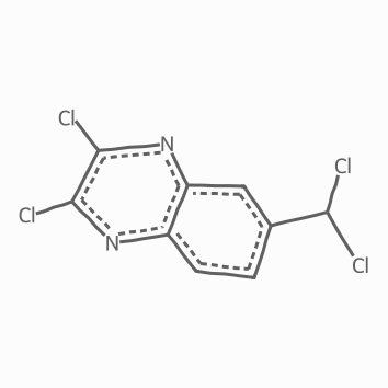 Clc1nc2ccc(C(Cl)Cl)cc2nc1Cl